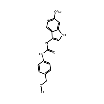 CCOCc1ccc(NC(=O)Nc2c[nH]c3cc(OC)ncc23)cc1